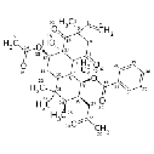 C=C[C@@]1(C)CC(=O)C2[C@]3(C)C(C[C@@H](OC(C)=O)[C@@]2(O)C1=O)C(C)(C)[C@H](C)[C@H](CC(C)=O)[C@@H]3OC(=O)c1ccccc1